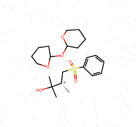 C1CCC(OC2CCCCO2)OC1.C[C@@H](CS(=O)(=O)c1ccccc1)C(C)(C)O